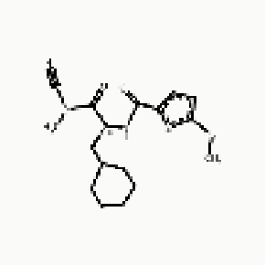 CSc1ccc(C(=O)N[C@@H](CC2CCCCC2)C(=O)N(C)C#N)s1